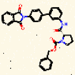 O=C(Nc1cccc(-c2ccc(N3C(=O)c4ccccc4C3=O)cc2)c1)[C@@H]1CCCN1C(=O)OCc1ccccc1